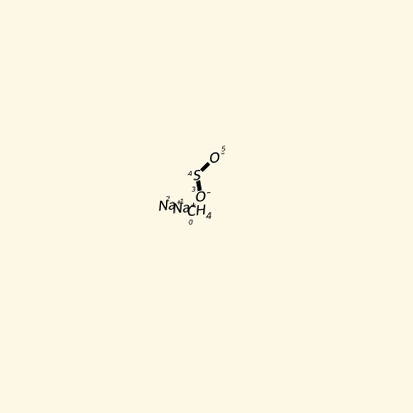 C.[Na+].[Na+].[O-]S[O-]